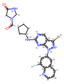 O=C1CN(C(=O)[C@@H]2CC[C@@H](Nc3ncc4c(Br)nn(-c5cc(F)c6ncccc6c5)c4n3)C2)CN1